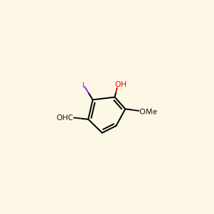 COc1ccc(C=O)c(I)c1O